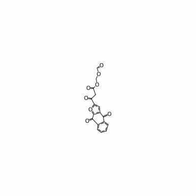 O=COCOC(=O)CC(=O)c1cc2c(o1)C(=O)c1ccccc1C2=O